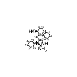 NN1NC(c2ccccc2)=C(Cc2ccccc2O)N1c1ccccc1